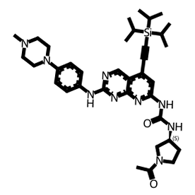 CC(=O)N1CC[C@H](NC(=O)Nc2cc(C#C[Si](C(C)C)(C(C)C)C(C)C)c3cnc(Nc4ccc(N5CCN(C)CC5)cc4)nc3n2)C1